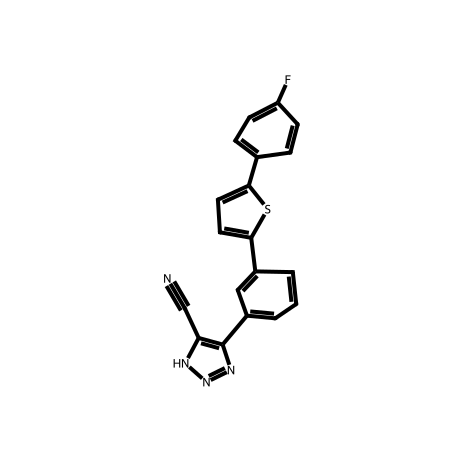 N#Cc1[nH]nnc1-c1cccc(-c2ccc(-c3ccc(F)cc3)s2)c1